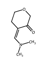 CN(C)/C=C1/CCOCC1=O